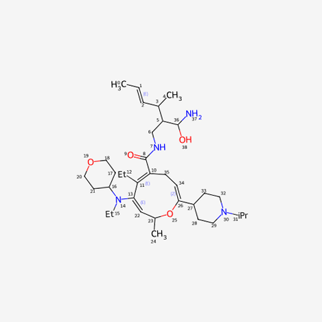 C/C=C/C(C)C(CNC(=O)/C1=C(CC)/C(N(CC)C2CCOCC2)=C\C(C)O/C(C2CCN(C(C)C)CC2)=C\C1)C(N)O